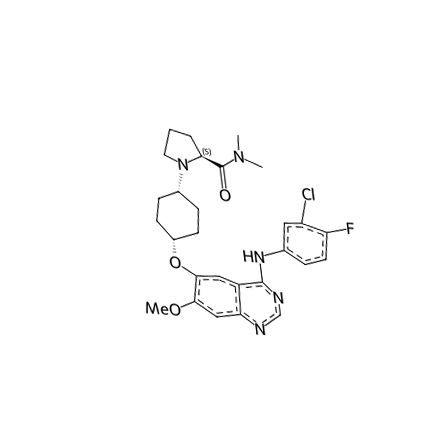 COc1cc2ncnc(Nc3ccc(F)c(Cl)c3)c2cc1O[C@H]1CC[C@@H](N2CCC[C@H]2C(=O)N(C)C)CC1